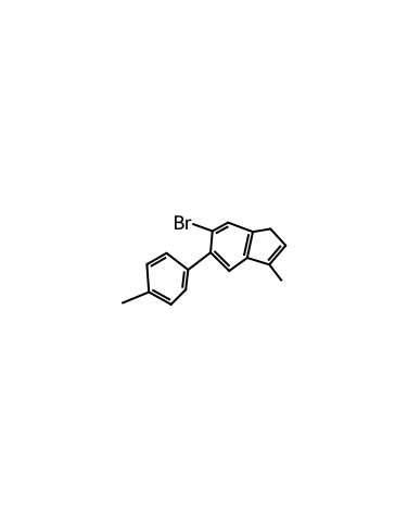 CC1=CCc2cc(Br)c(-c3ccc(C)cc3)cc21